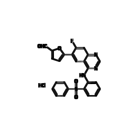 Cl.O=Cc1ccc(-c2cc3c(Nc4ccccc4S(=O)(=O)c4ccccc4)ncnc3cc2F)o1